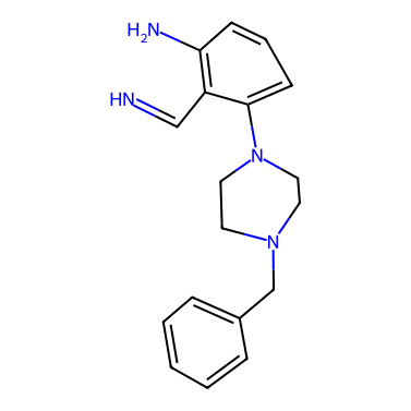 N=Cc1c(N)cccc1N1CCN(Cc2ccccc2)CC1